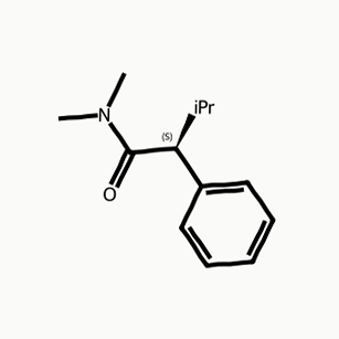 CC(C)[C@H](C(=O)N(C)C)c1ccccc1